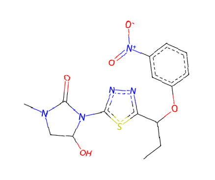 CCC(Oc1cccc([N+](=O)[O-])c1)c1nnc(N2C(=O)N(C)CC2O)s1